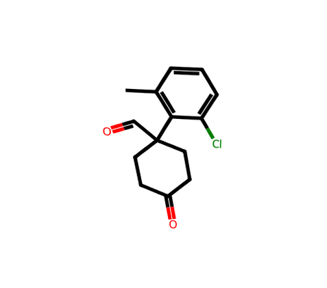 Cc1cccc(Cl)c1C1(C=O)CCC(=O)CC1